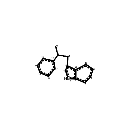 CC([CH]c1c[nH]c2ccccc12)c1ccccc1